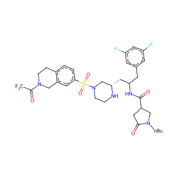 CCCCN1CC(C(=O)NC(Cc2cc(F)cc(F)c2)C[C@H]2CN(S(=O)(=O)c3ccc4c(c3)CN(C(=O)C(F)(F)F)CC4)CCN2)CC1=O